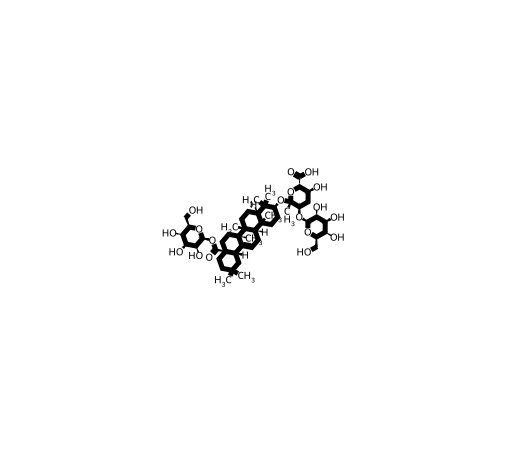 CC1(C)CC[C@]2(C(=O)O[C@@H]3O[C@H](CO)[C@@H](O)[C@H](O)[C@H]3O)CC[C@]3(C)C(=CC[C@@H]4[C@@]5(C)CC[C@H](O[C@]6(C)O[C@H](C(=O)O)[C@@H](O)C[C@H]6O[C@@H]6O[C@H](CO)[C@@H](O)[C@H](O)[C@H]6O)C(C)(C)[C@@H]5CC[C@]43C)[C@@H]2C1